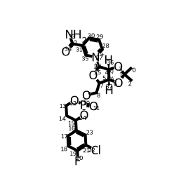 CC1(C)O[C@@H]2[C@H](O1)C(COP1(=O)OCCC(c3ccc(F)c(Cl)c3)O1)O[C@H]2[n+]1cccc(C(N)=O)c1